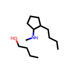 CCCCC1CCCC1NC.CCCCO